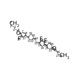 C=CCCCOc1ccc(C2CCC(CCc3ccc(C4=CCC(OCCCC)CC4)c(F)c3F)CC2)cc1F